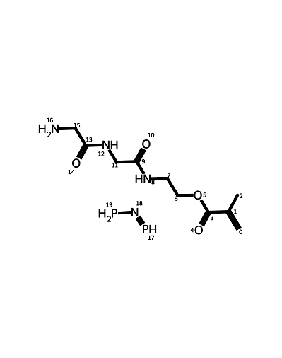 C=C(C)C(=O)OCCNC(=O)CNC(=O)CN.P=NP